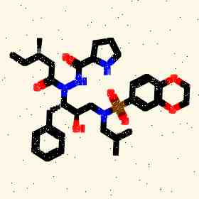 CC[C@H](C)CC(=O)N(NC(=O)C1CCCN1)[C@@H](Cc1ccccc1)[C@H](O)CN(CC(C)C)S(=O)(=O)c1ccc2c(c1)OCCO2